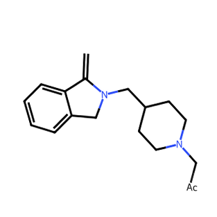 C=C1c2ccccc2CN1CC1CCN(CC(C)=O)CC1